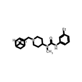 CCc1cccc(NC(=O)N(C)C2CCN(CC3=CCC4CC3C4(C)C)CC2)c1